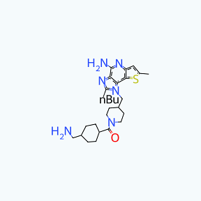 CCCCc1nc2c(N)nc3cc(C)sc3c2n1CC1CCN(C(=O)C2CCC(CN)CC2)CC1